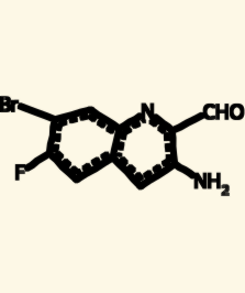 Nc1cc2cc(F)c(Br)cc2nc1C=O